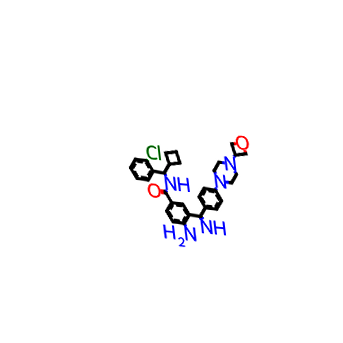 N=C(c1ccc(N2CCN(C3COC3)CC2)cc1)c1cc(C(=O)NC(c2ccccc2Cl)C2CCC2)ccc1N